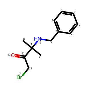 CC(C)(NCc1ccccc1)C(=O)CBr